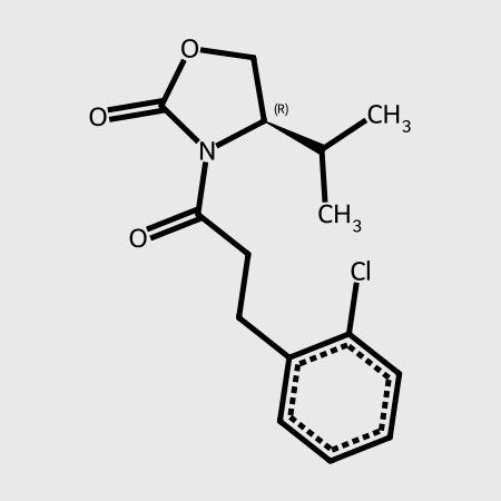 CC(C)[C@@H]1COC(=O)N1C(=O)CCc1ccccc1Cl